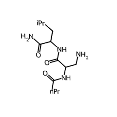 CCCC(=O)NC(CN)C(=O)NC(CC(C)C)C(N)=O